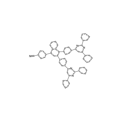 N#Cc1ccc(-c2cc(-c3ccc(-c4cc(-c5ccccc5)nc(-c5ccccc5)n4)cc3)c(-c3ccc(-c4cc(-c5ccccc5)nc(-c5ccccc5)n4)cc3)c3ccccc23)cc1